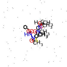 Cc1cc2c(cc1C(=O)N(C(C)C)C1CCCN(OC(=O)C(C)(C)C)C1)N(CCNC(=O)OCc1ccccc1)C(=O)C(C)S2